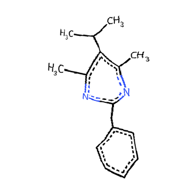 Cc1nc(-c2ccccc2)nc(C)c1C(C)C